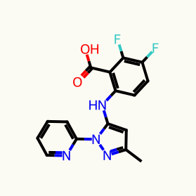 Cc1cc(Nc2ccc(F)c(F)c2C(=O)O)n(-c2ccccn2)n1